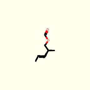 CC=CC(C)COC=O